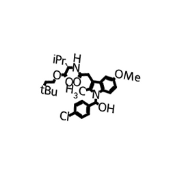 COc1ccc2c(c1)c(CC(=O)N[C@H](C(=O)OCCC(C)(C)C)C(C)C)c(C)n2C(O)c1ccc(Cl)cc1